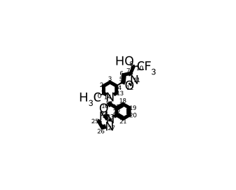 C[C@@H]1CC[C@@H](c2cc([C@H](O)C(F)(F)F)no2)CN1C(=O)c1ccccc1-n1nccn1